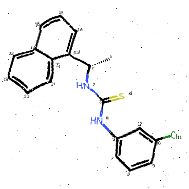 C[C@H](NC(=S)Nc1cccc(Cl)c1)c1cccc2ccccc12